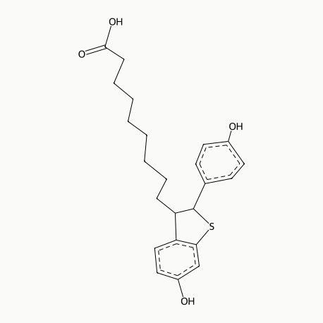 O=C(O)CCCCCCCCC1c2ccc(O)cc2SC1c1ccc(O)cc1